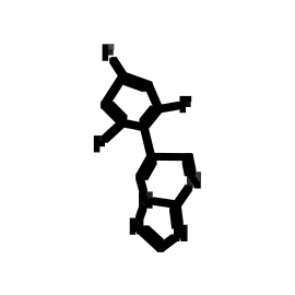 Fc1cc(F)c(-c2cnc3ncnn3c2)c(F)c1